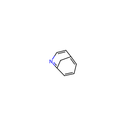 C1=CC2=NC=CC(=C1)C2